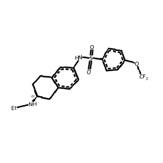 CCN[C@H]1CCc2cc(NS(=O)(=O)c3ccc(OC(F)(F)F)cc3)ccc2C1